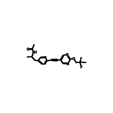 CC(=O)NC(C)Cc1ccc(C#Cc2cnc(OCC(C)(F)F)nc2)cc1